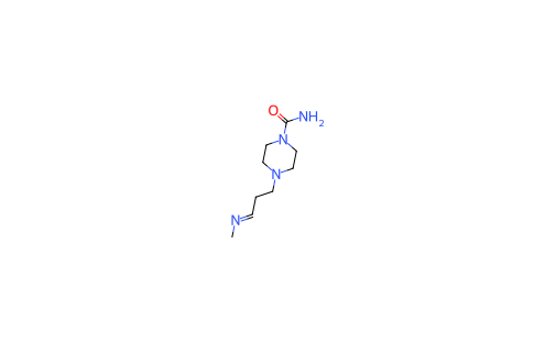 CN=CCCN1CCN(C(N)=O)CC1